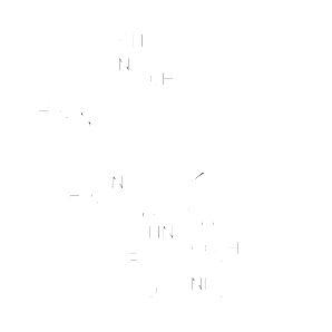 CC[C@@](NC(=O)[C@H](CCc1ccccc1)CC(=O)N(C)CCN(C)CCN(C)C)(C(N)=O)C(=O)O